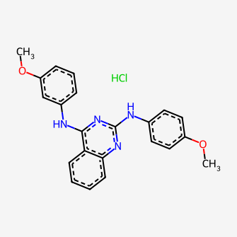 COc1ccc(Nc2nc(Nc3cccc(OC)c3)c3ccccc3n2)cc1.Cl